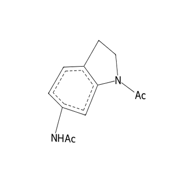 CC(=O)Nc1ccc2c(c1)N(C(C)=O)CC2